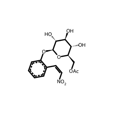 CC(=O)OC[C@H]1O[C@@H](Oc2ccccc2C=C[N+](=O)[O-])[C@H](O)[C@@H](O)[C@@H]1O